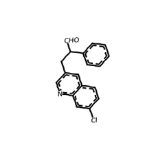 O=CC(Cc1cnc2cc(Cl)ccc2c1)c1ccccc1